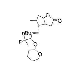 CCCCC(C)(F)C(/C=C/C1C(C)CC2OC(=O)CC21)OC1CCCCO1